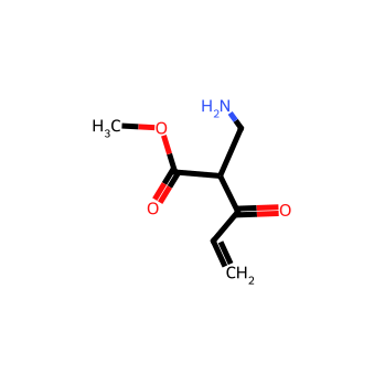 C=CC(=O)C(CN)C(=O)OC